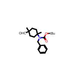 CC1(C=O)CCC(C)(N(Cc2ccccc2)C(=O)OC(C)(C)C)CC1